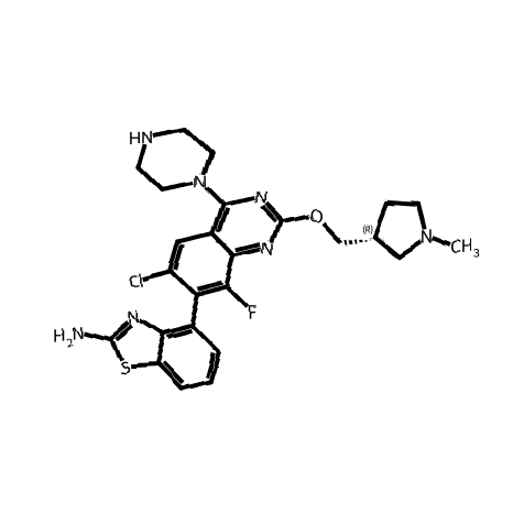 CN1CC[C@@H](COc2nc(N3CCNCC3)c3cc(Cl)c(-c4cccc5sc(N)nc45)c(F)c3n2)C1